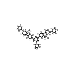 C[Si]1(C)c2cc(-c3ccccc3)ccc2-c2ccc(-c3nc(-c4ccccc4)nc(-c4ccc5c(c4)[Si](C)(C)c4cc(-c6ccccc6)ccc4-5)n3)cc21